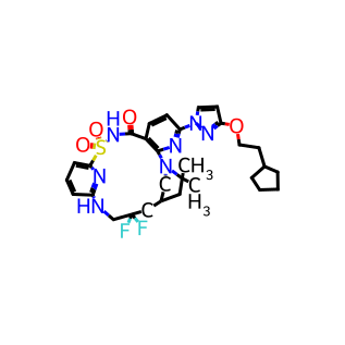 CC1(C)CC2CN1c1nc(-n3ccc(OCCC4CCCC4)n3)ccc1C(=O)NS(=O)(=O)c1cccc(n1)NCC(F)(F)C2